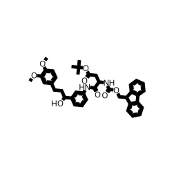 COc1ccc(CCC(O)c2cccc(NC(=O)C(CC(=O)OC(C)(C)C)NC(=O)OCC3c4ccccc4-c4ccccc43)c2)cc1OC